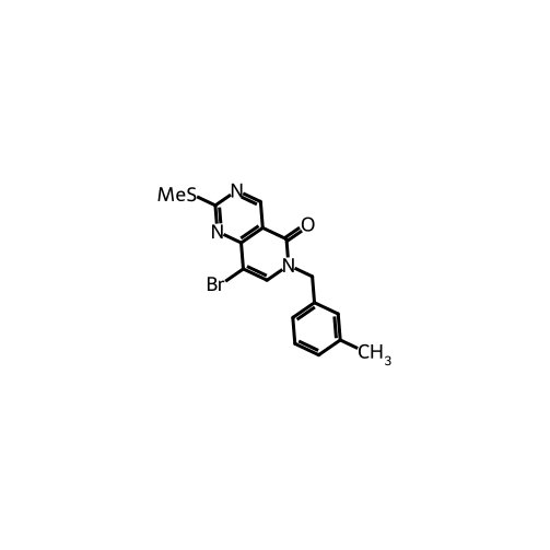 CSc1ncc2c(=O)n(Cc3cccc(C)c3)cc(Br)c2n1